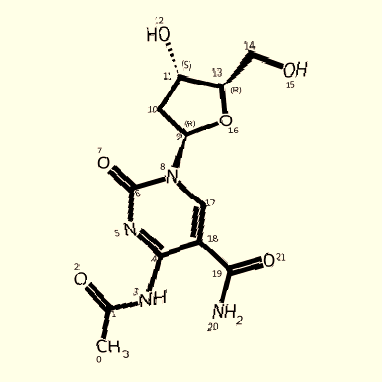 CC(=O)Nc1nc(=O)n([C@H]2C[C@H](O)[C@@H](CO)O2)cc1C(N)=O